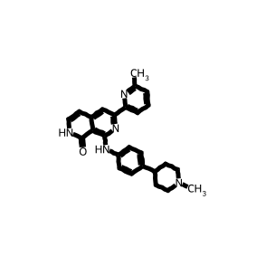 Cc1cccc(-c2cc3cc[nH]c(=O)c3c(Nc3ccc(C4CCN(C)CC4)cc3)n2)n1